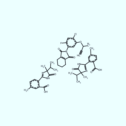 C#CC(C)Oc1cc(N2C(=O)C3=C(CCCC3)C2=O)c(F)cc1Cl.Cc1ccc(C(=O)O)c(C2=NC(C)(C(C)C)C(=O)N2)c1.Cc1ccc(C2=NC(C)(C(C)C)C(=O)N2)c(C(=O)O)c1